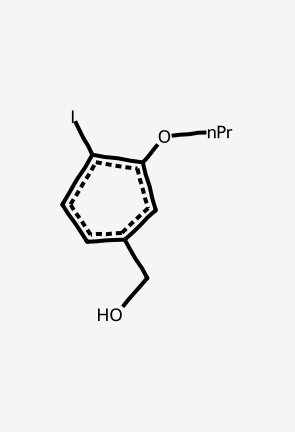 CCCOc1cc(CO)ccc1I